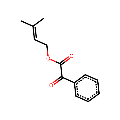 CC(C)=CCOC(=O)C(=O)c1ccccc1